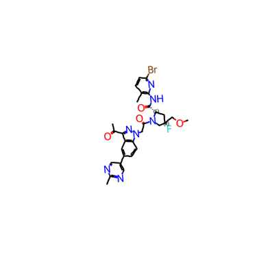 COC[C@@]1(F)C[C@@H](C(=O)Nc2nc(Br)ccc2C)N(C(=O)Cn2nc(C(C)=O)c3cc(-c4cnc(C)nc4)ccc32)C1